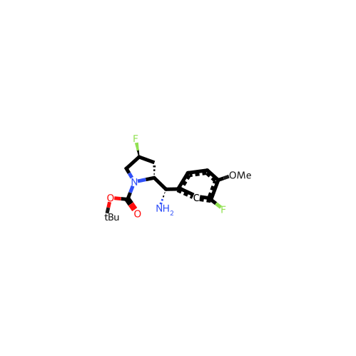 COc1ccc([C@H](N)[C@H]2C[C@H](F)CN2C(=O)OC(C)(C)C)cc1F